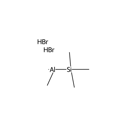 Br.Br.[CH3][Al][Si](C)(C)C